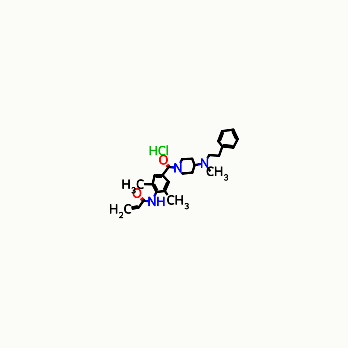 C=CC(=O)Nc1c(C)cc(C(=O)N2CCC(N(C)CCc3ccccc3)CC2)cc1C.Cl